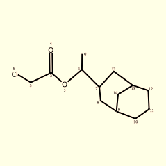 CC(OC(=O)CCl)C1CC2CCCC(C2)C1